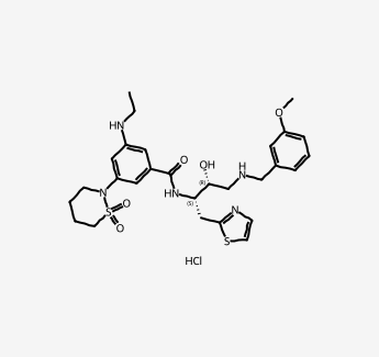 CCNc1cc(C(=O)N[C@@H](Cc2nccs2)[C@H](O)CNCc2cccc(OC)c2)cc(N2CCCCS2(=O)=O)c1.Cl